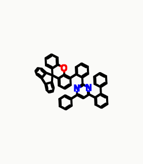 c1ccc(-c2cc(-c3ccccc3-c3ccccc3)nc(-c3ccccc3-c3cccc4c3Oc3ccccc3C43c4ccccc4-c4ccccc43)n2)cc1